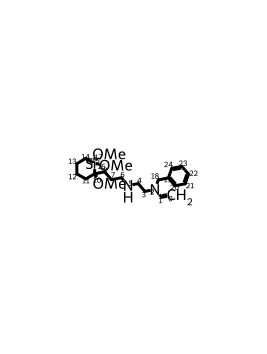 C=CN(CCNCCCC1(OC)CCCC[Si]1(OC)OC)Cc1ccccc1